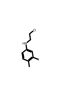 Cc1ccc(NCCCl)cc1I